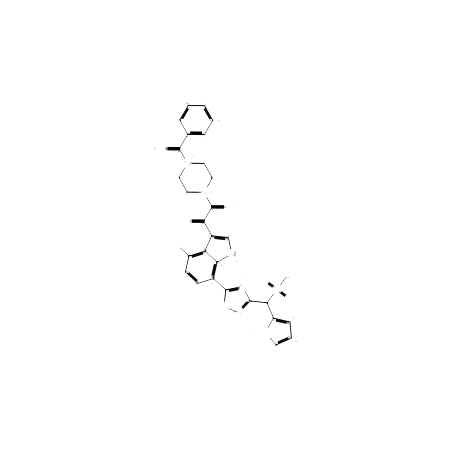 CS(=O)(=O)C(c1noc(-c2ccc(F)c3c(C(=O)C(=O)N4CCN(C(=O)c5ccccc5)CC4)c[nH]c23)n1)c1ccco1